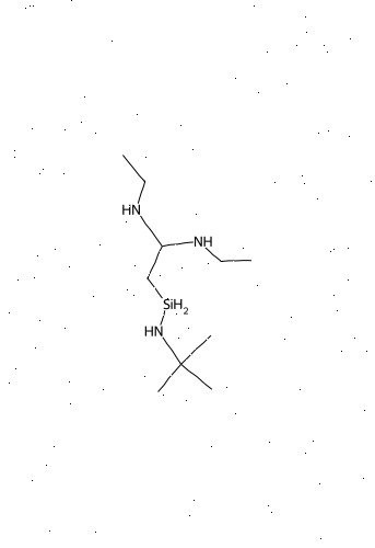 CCNC(C[SiH2]NC(C)(C)C)NCC